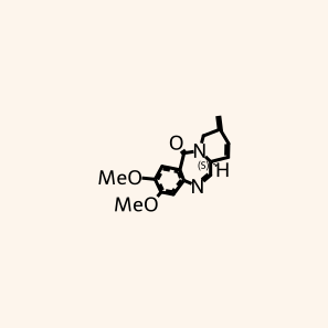 C=C1C=C[C@H]2C=Nc3cc(OC)c(OC)cc3C(=O)N2C1